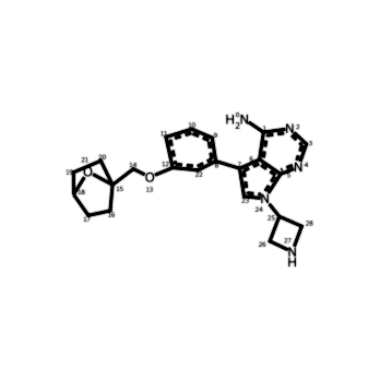 Nc1ncnc2c1c(-c1cccc(OCC34CCC(CC3)O4)c1)cn2C1CNC1